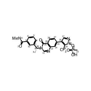 CNC(=O)c1cccc([C@@H](C)n2cnc3cc(-c4cnn(OP(C)(=O)O)c4C(F)(F)F)ccc3c2=O)c1